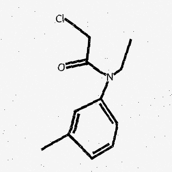 CCN(C(=O)CCl)c1cccc(C)c1